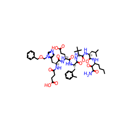 CCCCC(NC(=O)[C@H](CC(C)C)NC(=O)[C@@H](NC(=O)[C@H](Cc1ccccc1C)NC(=O)[C@H](CCC(=O)O)NC(=O)[C@H](Cc1cncn1COCc1ccccc1)NC(=O)CCC(=O)O)C(C)(C)C)C(=O)C(N)=O